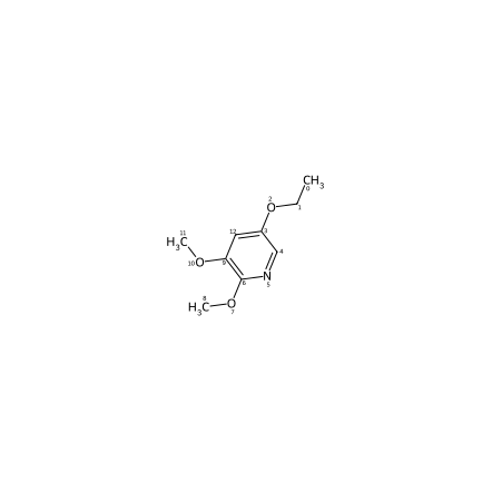 CCOc1cnc(OC)c(OC)c1